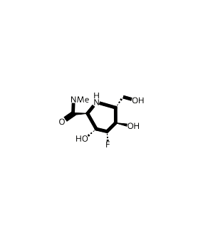 CNC(=O)[C@H]1N[C@H](CO)[C@@H](O)[C@H](F)[C@@H]1O